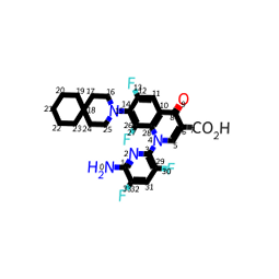 Nc1nc(-n2cc(C(=O)O)c(=O)c3cc(F)c(N4CCC5(CCCCC5)CC4)c(F)c32)c(F)cc1F